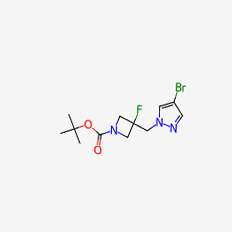 CC(C)(C)OC(=O)N1CC(F)(Cn2cc(Br)cn2)C1